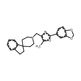 Cc1oc(-c2ccc3c(c2)OCO3)nc1CN1CCC2(CCc3ccccc32)CC1